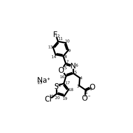 O=C([O-])CCc1nc(-c2ccc(F)cc2)oc1-c1ccc(Cl)s1.[Na+]